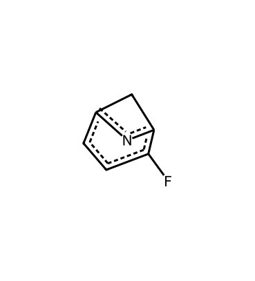 Fc1ccc2nc1C2